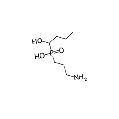 CCCC(O)P(=O)(O)CCCN